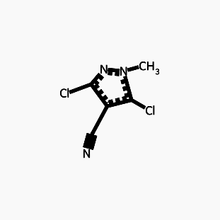 Cn1nc(Cl)c(C#N)c1Cl